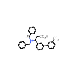 C[C@H](c1ccccc1)N(Cc1ccccc1)C(CC(=O)O)c1cccc(-c2cccc(C(F)(F)F)c2)c1